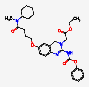 CCOC(=O)CN1Cc2cc(OCCCC(=O)N(C)C3CCCCC3)ccc2N=C1NC(=O)Oc1ccccc1